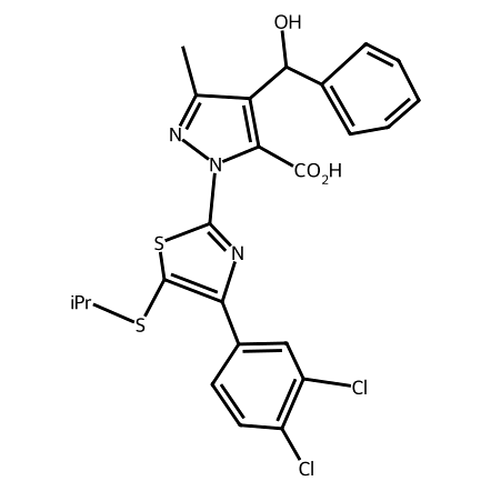 Cc1nn(-c2nc(-c3ccc(Cl)c(Cl)c3)c(SC(C)C)s2)c(C(=O)O)c1C(O)c1ccccc1